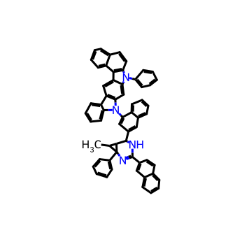 CC1C2C(c3cc(-n4c5ccccc5c5cc6c7c8ccccc8ccc7n(-c7ccccc7)c6cc54)c4ccccc4c3)NC(c3ccc4ccccc4c3)=NC12c1ccccc1